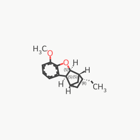 CC[C@@H]1C[C@H]2C[C@@H]1[C@@H]1Oc3c(OC)cccc3[C@H]21